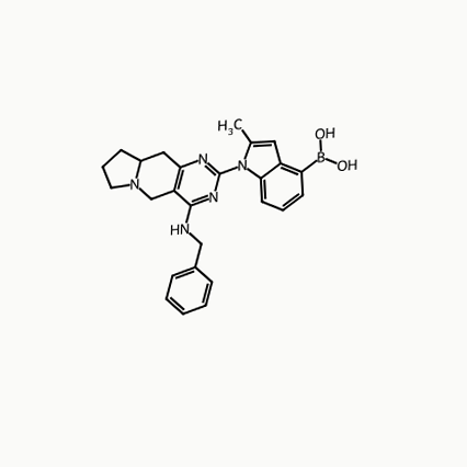 Cc1cc2c(B(O)O)cccc2n1-c1nc2c(c(NCc3ccccc3)n1)CN1CCCC1C2